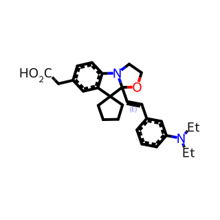 CCN(CC)c1cccc(/C=C/C23OCCN2c2ccc(CC(=O)O)cc2C32CCCC2)c1